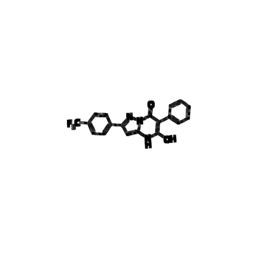 O=c1c(-c2ccccc2)c(O)[nH]c2cc(-c3ccc(C(F)(F)F)cc3)nn12